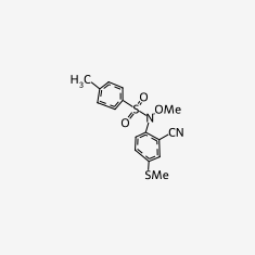 CON(c1ccc(SC)cc1C#N)S(=O)(=O)c1ccc(C)cc1